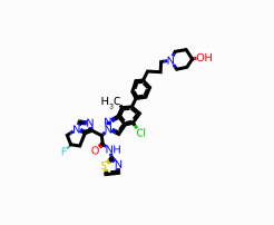 Cc1c(-c2ccc(CCCN3CCC(O)CC3)cc2)cc(Cl)c2cn(C(C(=O)Nc3nccs3)c3ncn4c3C[C@@H](F)C4)nc12